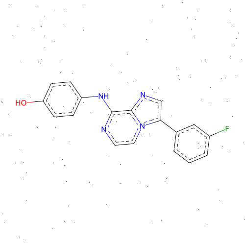 Oc1ccc(Nc2nccn3c(-c4cccc(F)c4)cnc23)cc1